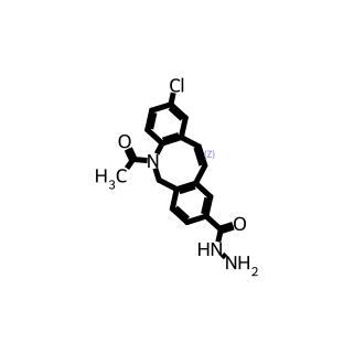 CC(=O)N1Cc2ccc(C(=O)NN)cc2/C=C\c2cc(Cl)ccc21